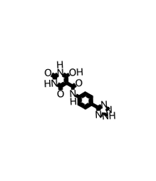 O=C(Nc1ccc(-c2nn[nH]n2)cc1)c1c(O)[nH]c(=O)[nH]c1=O